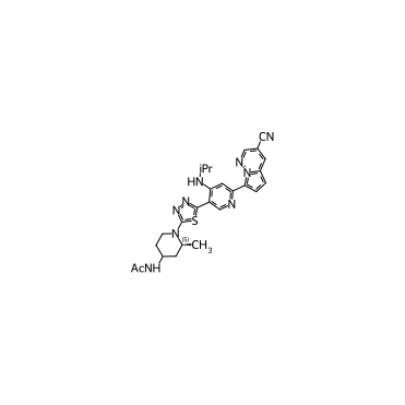 CC(=O)NC1CCN(c2nnc(-c3cnc(-c4ccc5cc(C#N)cnn45)cc3NC(C)C)s2)[C@@H](C)C1